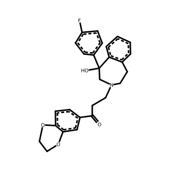 O=C(CCN1CCc2ccccc2C(O)(c2ccc(F)cc2)C1)c1ccc2c(c1)OCCO2